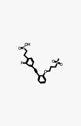 CS(=O)(=O)CCCOc1ccccc1C#Cc1ccc(CCS(=O)O)c(F)c1